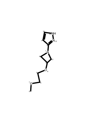 COCCOC1CN(c2cc[nH]n2)C1